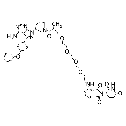 CC(CCOCCOCCOCCOCCNc1cccc2c1C(=O)N(C1CCC(=O)NC1=O)C2=O)C(=O)N1CCCC(n2nc(-c3ccc(Oc4ccccc4)cc3)c3c(N)ncnc32)C1